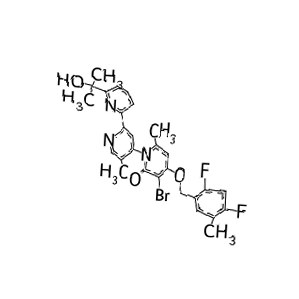 Cc1cc(COc2cc(C)n(-c3cc(-c4cccc(C(C)(C)O)n4)ncc3C)c(=O)c2Br)c(F)cc1F